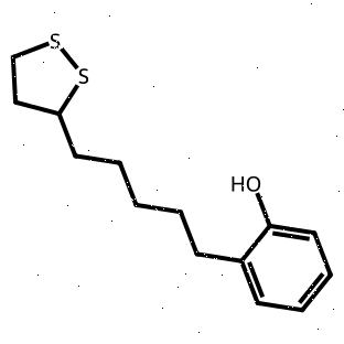 Oc1ccccc1CCCCCC1CCSS1